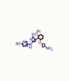 CC(C)Oc1cccc(O[C@H]2C[C@H](N)C2)c1-c1cc(Nc2cnc(C#N)cn2)n[nH]1